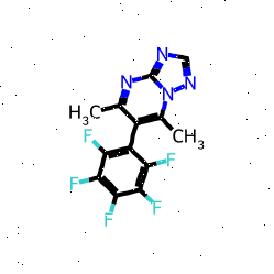 Cc1nc2ncnn2c(C)c1-c1c(F)c(F)c(F)c(F)c1F